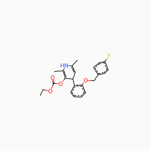 CCOC(=O)OC1=C(C)NC(C)=CC1c1ccccc1OCc1ccc(F)cc1